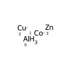 [AlH3].[Co].[Cu].[Zn]